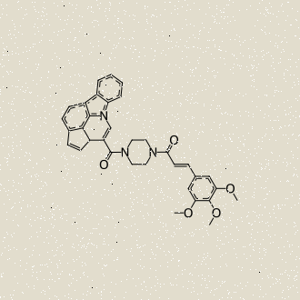 COc1cc(C=CC(=O)N2CCN(C(=O)C3=Cn4c5ccccc5c5ccc6c(c54)C3C=C6)CC2)cc(OC)c1OC